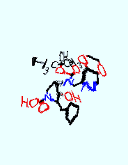 CC(C)(C)OC(=O)N(Cc1cc2c(cn1)OCCO2)[C@H]1CCN(C(=O)O)C(Cc2ccccc2)[C@H]1O